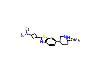 CCN(CC)C1CC(c2nc3ccc(C4CCC(OC)NC4)cc3s2)C1